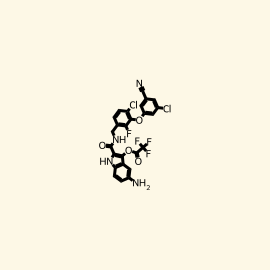 N#Cc1cc(Cl)cc(Oc2c(Cl)ccc(CNC(=O)c3[nH]c4ccc(N)cc4c3OC(=O)C(F)(F)F)c2F)c1